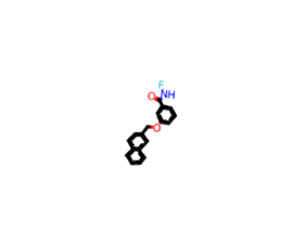 O=C(NF)c1cccc(OCc2ccc3ccccc3c2)c1